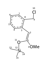 COC(=Cc1ccccc1CCl)O[Si](C)(C)C